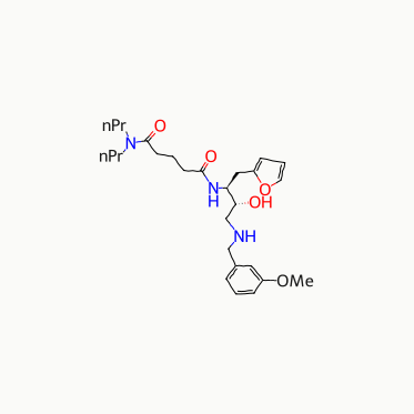 CCCN(CCC)C(=O)CCCC(=O)N[C@@H](Cc1ccco1)[C@H](O)CNCc1cccc(OC)c1